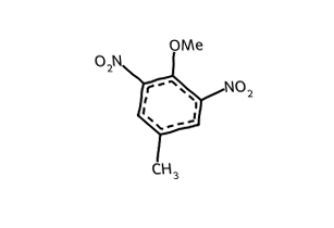 COc1c([N+](=O)[O-])cc(C)cc1[N+](=O)[O-]